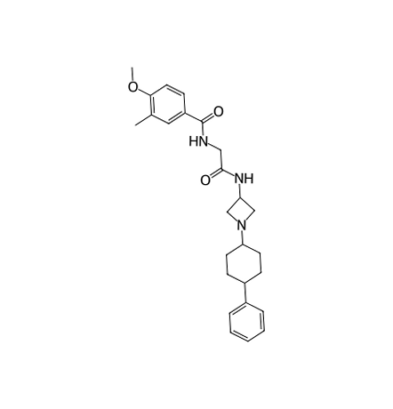 COc1ccc(C(=O)NCC(=O)NC2CN(C3CCC(c4ccccc4)CC3)C2)cc1C